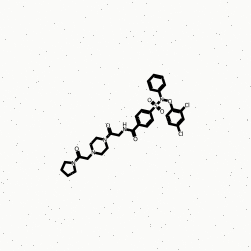 O=C(NCC(=O)N1CCN(CC(=O)N2CCCC2)CC1)c1ccc(S(=O)(=O)N(Oc2ccc(Cl)cc2Cl)c2ccccc2)cc1